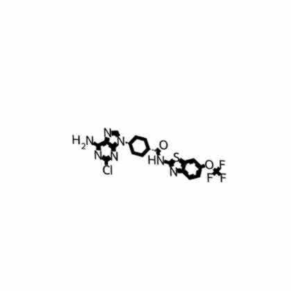 Nc1nc(Cl)nc2c1ncn2[C@H]1CC[C@@H](C(=O)Nc2nc3ccc(OC(F)(F)F)cc3s2)CC1